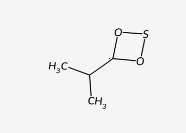 CC(C)[C]1OSO1